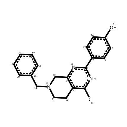 Oc1ccc(-c2nc(Cl)c3c(n2)CN(Cc2ccccc2)CC3)cc1